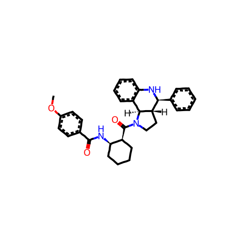 COc1ccc(C(=O)N[C@@H]2CCCC[C@@H]2C(=O)N2CC[C@H]3[C@H](c4ccccc4)Nc4ccccc4[C@@H]32)cc1